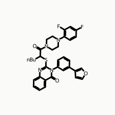 CCCCC(Sc1nc2ccccc2c(=O)n1-c1cccc(-c2ccoc2)c1)C(=O)N1CCN(c2ccc(F)cc2F)CC1